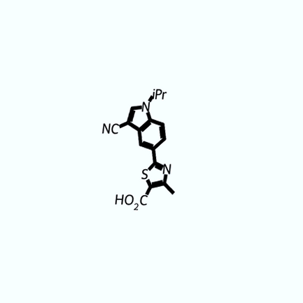 Cc1nc(-c2ccc3c(c2)c(C#N)cn3C(C)C)sc1C(=O)O